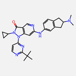 CN(C)C1Cc2ccc(Nc3cc4c(cn3)c(=O)n(C3CC3)n4-c3ccnc(C(C)(C)C)n3)cc2C1